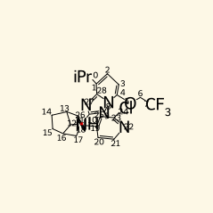 CC(C)c1ccc(OCC(F)(F)F)n2nc(NC3C4CCC3CN(c3ccnc(Cl)c3)C4)nc12